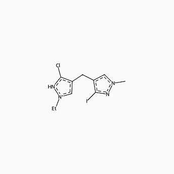 CC[n+]1cc(Cc2cn(C)nc2I)c(Cl)[nH]1